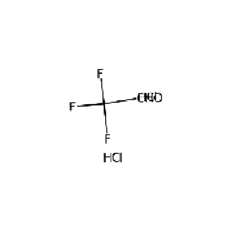 Cl.Cl.O=CC(F)(F)F